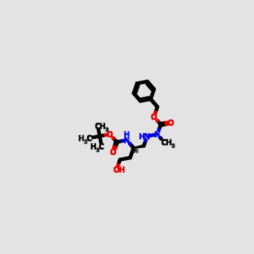 CN(NC[C@@H](CCO)NC(=O)OC(C)(C)C)C(=O)OCc1ccccc1